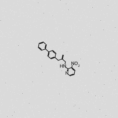 C=C(CNc1ncccc1[N+](=O)[O-])Cc1ccc(-c2ccccc2)cc1